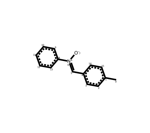 Cc1ccc(C=[N+]([O-])c2ccccc2)cc1